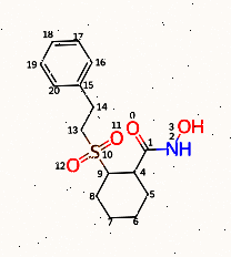 O=C(NO)C1CCCCC1S(=O)(=O)CCc1ccccc1